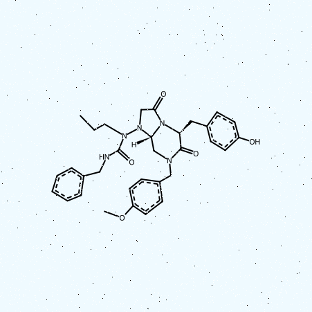 CCCN(C(=O)NCc1ccccc1)N1CC(=O)N2[C@@H](Cc3ccc(O)cc3)C(=O)N(Cc3ccc(OC)cc3)C[C@@H]21